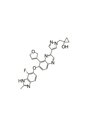 Cc1nc2ccc(Oc3ccc4ncc(-c5cnn(CC6(O)CC6)c5)nc4c3C3=CCOC3)c(F)c2[nH]1